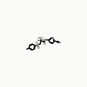 Cc1ccc(S(=O)(=O)C[C@](C)(O)C(=O)Nc2ccc(C#N)nc2)cc1